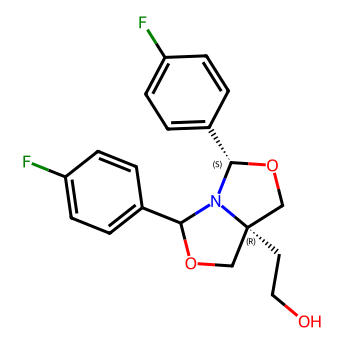 OCC[C@]12COC(c3ccc(F)cc3)N1[C@H](c1ccc(F)cc1)OC2